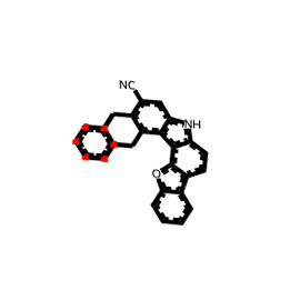 N#Cc1cc2[nH]c3ccc4c5ccccc5oc4c3c2c2c1C1c3ccccc3C2c2ccccc21